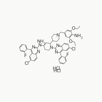 CCOc1cc(CN2CCC(C3CC(N(N)c4nc(-c5ccccc5F)c5cc(Cl)ccc5n4)CCN3c3nc(-c4ccccc4F)c4cc(Cl)ccc4n3)CC2)cc(OCC)c1N.Cl.Cl